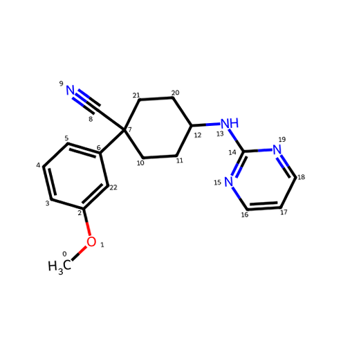 COc1cccc(C2(C#N)CCC(Nc3ncccn3)CC2)c1